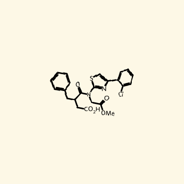 COC(=O)CN(C(=O)C(CC(=O)O)Cc1ccccc1)c1nc(-c2ccccc2Cl)cs1